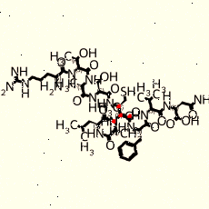 CC(C)C[C@H](NC(=O)[C@H](C)NC(=O)[C@H](CS)NC(=O)[C@H](CO)NC(=O)[C@H](C)NC(=O)[C@@H](NC(=O)[C@@H](N)CCCNC(=N)N)[C@@H](C)O)C(=O)N[C@@H](C)C(=O)N[C@@H](Cc1ccccc1)C(=O)N[C@H](C(=O)N[C@@H](CC(N)=O)C(=O)O)C(C)C